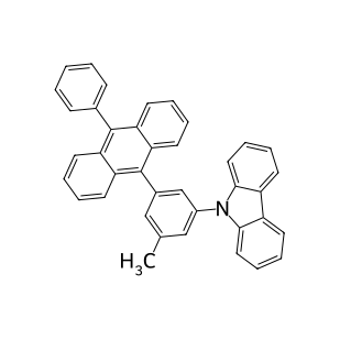 Cc1cc(-c2c3ccccc3c(-c3ccccc3)c3ccccc23)cc(-n2c3ccccc3c3ccccc32)c1